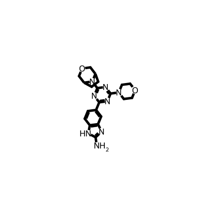 Nc1nc2cc(-c3nc(N4CCOCC4)nc(N4C5CCC4COC5)n3)ccc2[nH]1